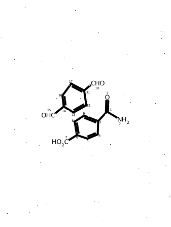 NC(=O)c1ccc(C(=O)O)cc1.O=Cc1ccc(C=O)cc1